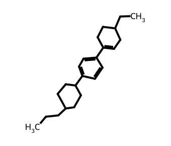 CCCC1CCC(c2ccc(C3=CCC(CC)CC3)cc2)CC1